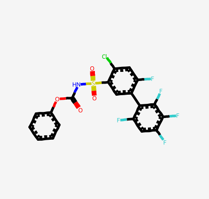 O=C(NS(=O)(=O)c1cc(-c2c(F)cc(F)c(F)c2F)c(F)cc1Cl)Oc1ccccc1